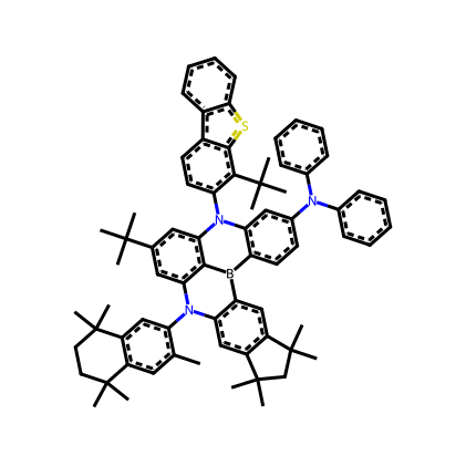 Cc1cc2c(cc1N1c3cc4c(cc3B3c5ccc(N(c6ccccc6)c6ccccc6)cc5N(c5ccc6c(sc7ccccc76)c5C(C)(C)C)c5cc(C(C)(C)C)cc1c53)C(C)(C)CC4(C)C)C(C)(C)CCC2(C)C